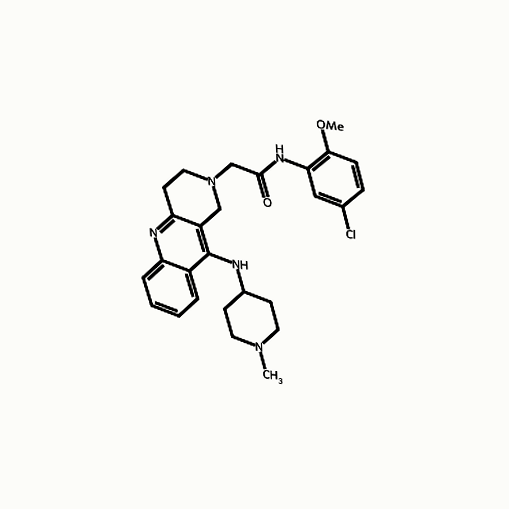 COc1ccc(Cl)cc1NC(=O)CN1CCc2nc3ccccc3c(NC3CCN(C)CC3)c2C1